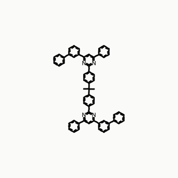 CC(C)(c1ccc(-c2nc(-c3ccccc3)cc(-c3cccc(-c4ccccc4)c3)n2)cc1)c1ccc(-c2nc(-c3ccccc3)cc(-c3cccc(-c4ccccc4)c3)n2)cc1